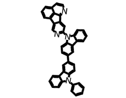 c1ccc(-n2c3ccccc3c3cc(-c4ccc5c(c4)c4ccccc4n5-c4cc5c(cn4)-c4cccc6ccnc-5c46)ccc32)cc1